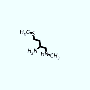 CNCC(N)CCSC